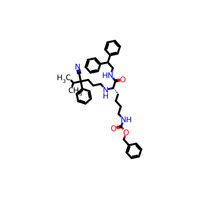 CC(C)C(C#N)(CCCN[C@@H](CCCCNC(=O)OCc1ccccc1)C(=O)NCC(c1ccccc1)c1ccccc1)c1ccccc1